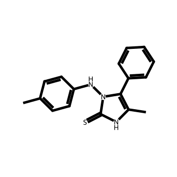 Cc1ccc(Nn2c(-c3ccccc3)c(C)[nH]c2=S)cc1